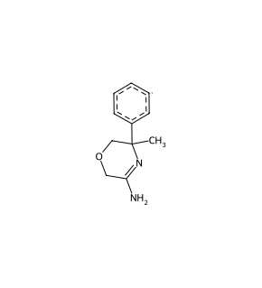 CC1(c2c[c]ccc2)COCC(N)=N1